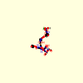 C#C[C@H]1CC(F)(F)CN1C(=O)CNC(=O)c1ccnc2ccc(OCCCCN3CCN(C(=O)[C@H](O)CSCCNC(=O)[C@H](CCCNC(=O)CCCc4ccc(I)cc4)NC(=O)CN4CCN(COC=O)CCN(COC=O)CCN(CC(=O)O)CC4)CC3)cc12